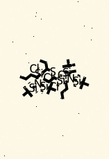 CCCC(N([Si](C)(C)C(C)(C)C)[Si](C)(C)C(C)(C)C)[Si](Cl)(Cl)C(CC)SC(CC)[Si](Cl)(Cl)C(CCC)N([Si](C)(C)C(C)(C)C)[Si](C)(C)C(C)(C)C